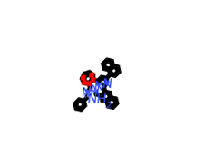 N/C(=N\C(=N/Cc1cc2ccccc2cc1-c1nc(-c2ccccc2)cc(-c2cccc3ccccc23)n1)C1=CC=CC=CC1)c1ccccc1